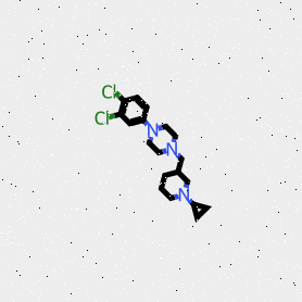 Clc1ccc(N2CCN(CC3CCCN(C4CC4)C3)CC2)cc1Cl